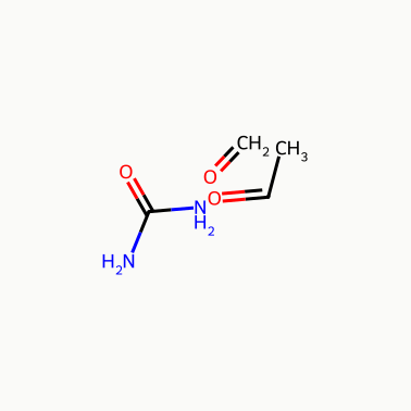 C=O.CC=O.NC(N)=O